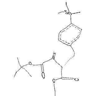 COC(=O)[C@@H](Cc1cc[c]([Sn]([CH3])([CH3])[CH3])cc1)NC(=O)OC(C)(C)C